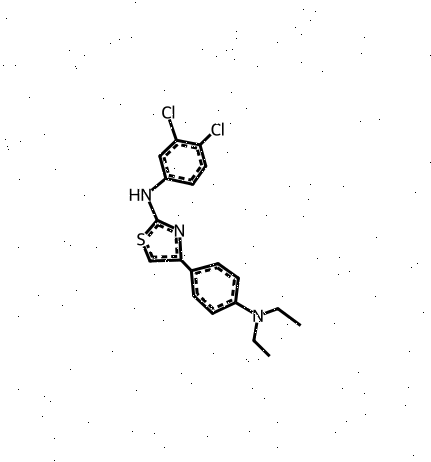 CCN(CC)c1ccc(-c2csc(Nc3ccc(Cl)c(Cl)c3)n2)cc1